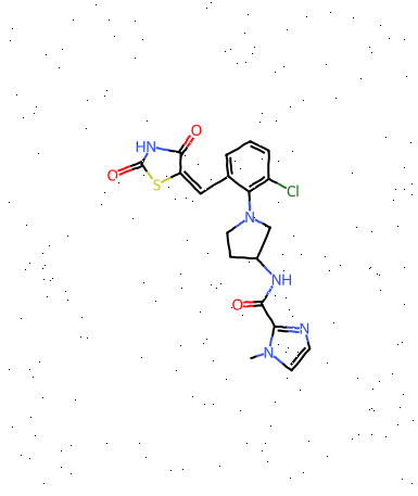 Cn1ccnc1C(=O)NC1CCN(c2c(Cl)cccc2/C=C2/SC(=O)NC2=O)C1